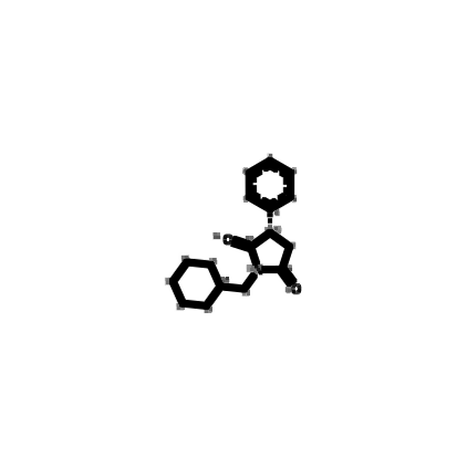 O=C1C[C@@H](c2ccccc2)C(=O)N1CC1CCCCC1